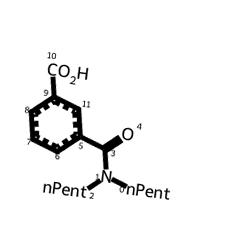 CCCCCN(CCCCC)C(=O)c1cccc(C(=O)O)c1